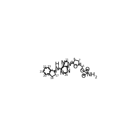 NS(=O)(=O)OC[C@@H]1CC[C@H](n2cnc3c(N[C@H]4CCc5ccccc54)ncnc32)O1